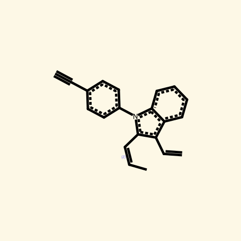 C#Cc1ccc(-n2c(/C=C\C)c(C=C)c3ccccc32)cc1